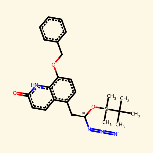 CC(C)(C)[Si](C)(C)O[C@H](Cc1ccc(OCc2ccccc2)c2[nH]c(=O)ccc12)N=[N+]=[N-]